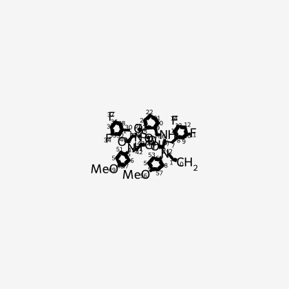 C=CCN(C(=O)[C@H](Cc1cc(F)cc(F)c1)NC(=O)c1ccccc1S(=O)(=O)N[C@@H](Cc1cc(F)cc(F)c1)C(=O)N(CC=C)c1ccc(OC)cc1)c1ccc(OC)cc1